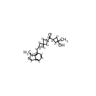 Cn1ncc2cccc(CC3CC4(C3)CN(C(=O)C3CC(C)(O)C3)C4)c21